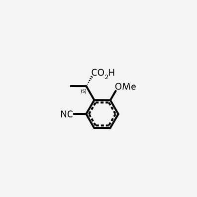 COc1cccc(C#N)c1[C@H](C)C(=O)O